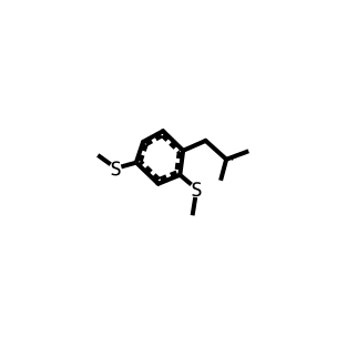 CSc1ccc(C[C](C)C)c(SC)c1